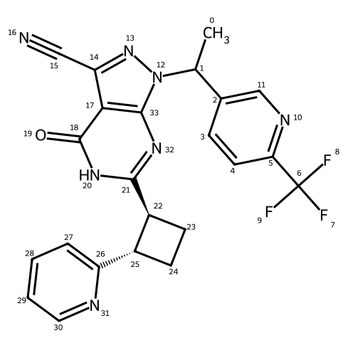 CC(c1ccc(C(F)(F)F)nc1)n1nc(C#N)c2c(=O)[nH]c([C@H]3CC[C@@H]3c3ccccn3)nc21